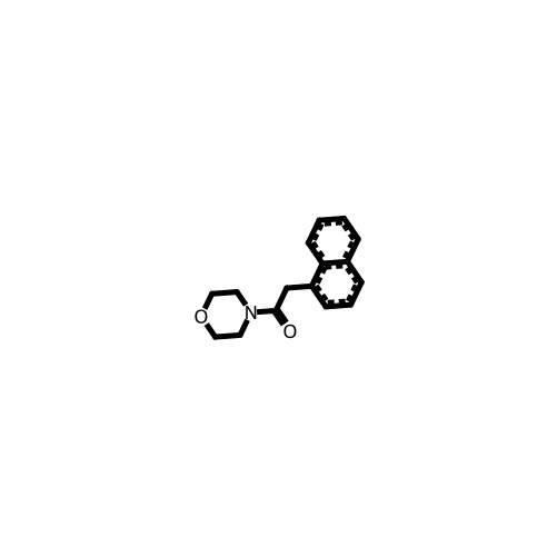 O=C(Cc1cccc2ccccc12)N1CCOCC1